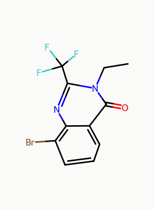 CCn1c(C(F)(F)F)nc2c(Br)cccc2c1=O